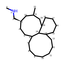 CNC[C@@H]1CCC2CCCCCCCC3CCCCC(CC(C)C1)C32